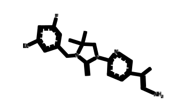 C=C1N(c2ccc(/C(C)=C/N)cn2)CC(C)(C)N1Cc1cc(F)cc(CC)c1